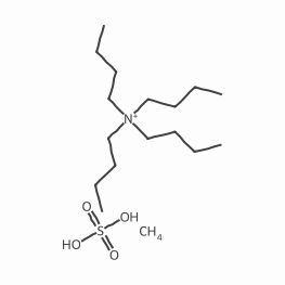 C.CCCC[N+](CCCC)(CCCC)CCCC.O=S(=O)(O)O